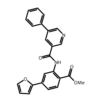 COC(=O)c1ccc(-c2ccco2)cc1NC(=O)c1cncc(-c2ccccc2)c1